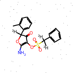 [2H]C1(c2ccccc2C)OC(N)=C(OS(=O)(=O)C([2H])([2H])c2ccccc2)C1=O